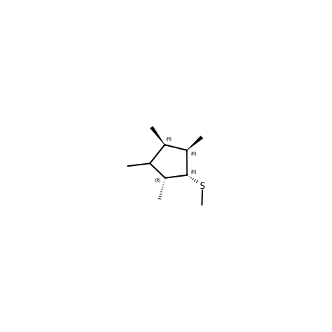 CS[C@H]1[C@H](C)[C@H](C)C(C)[C@H]1C